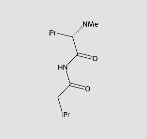 CN[C@H](C(=O)NC(=O)CC(C)C)C(C)C